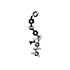 O=C(NC[C@H]1C[C@@H](NC(=O)[C@@H]2C[C@H](F)CN2)CN1C(=O)C1CC1)c1ccc(-c2cnc(-c3ccc(CN4CCOCC4)cc3)s2)cc1